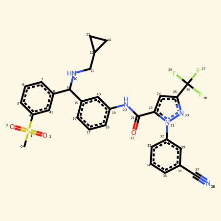 CS(=O)(=O)c1cccc(C(NCC2CC2)c2cccc(NC(=O)c3cc(C(F)(F)F)nn3-c3cccc(C#N)c3)c2)c1